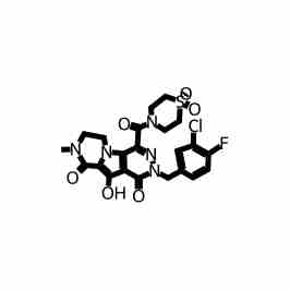 CN1CCn2c(c(O)c3c(=O)n(Cc4ccc(F)c(Cl)c4)nc(C(=O)N4CCS(=O)(=O)CC4)c32)C1=O